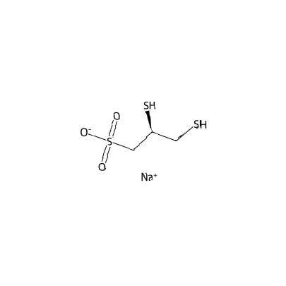 O=S(=O)([O-])C[C@@H](S)CS.[Na+]